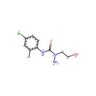 Cc1cc(Br)ccc1NC(=S)N(N)CCO